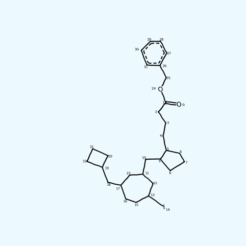 O=C(CCCC1CCCC1CC1CC(I)CCC(CC2CCC2)C1)OCc1ccccc1